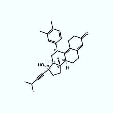 Cc1ccc([C@H]2C[C@@]3(C)[C@@H](CC[C@@]3(O)C#CC(C)C)[C@@H]3CCC4=CC(=O)CCC4=C32)cc1C